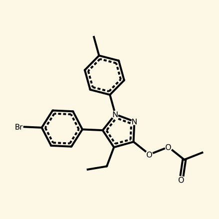 CCc1c(OOC(C)=O)nn(-c2ccc(C)cc2)c1-c1ccc(Br)cc1